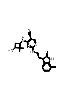 Cc1cccc2c1NC(=O)C2CCNc1ncc(C#N)c(NC2C[C@H](O)C2(C)C)n1